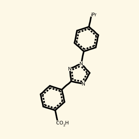 CC(C)c1ccc(-n2cnc(-c3cccc(C(=O)O)c3)n2)cc1